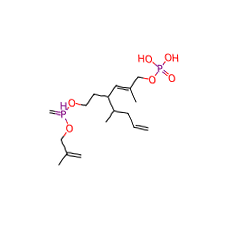 C=CCC(C)C(/C=C(\C)COP(=O)(O)O)CCO[PH](=C)OCC(=C)C